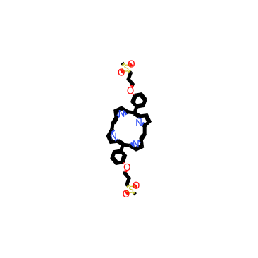 CS(=O)(=O)CCCOc1cccc(C2=C3C=CC(=N3)C=C3C=CC(=N3)C(c3cccc(OCCCS(C)(=O)=O)c3)=C3C=CC(=N3)C=C3C=CC2=N3)c1